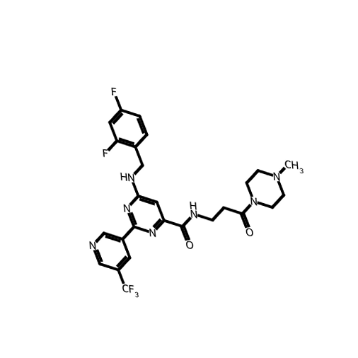 CN1CCN(C(=O)CCNC(=O)c2cc(NCc3ccc(F)cc3F)nc(-c3cncc(C(F)(F)F)c3)n2)CC1